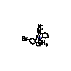 C/C(=N\c1cc(Br)ccc1Cl)c1ccccc1N=[N+]=[N-]